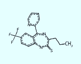 CCCc1nc(-c2ccccn2)c2cc(C(F)(F)F)ccc2nc1=S